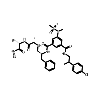 CCNC(=O)[C@@H](NC(=O)[C@H](C)NC[C@H](Cc1ccccc1)NC(=O)c1cc(C(=O)NCC(C)c2ccc(Cl)cc2)cc(N(C)S(C)(=O)=O)c1)C(C)C